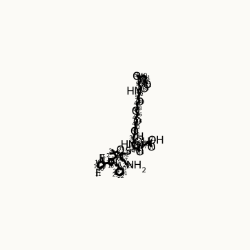 CC(C)(C)[C@H](c1cc(-c2cc(F)ccc2F)cn1Cc1ccccc1)N(CCCN)C(=O)CSC[C@H](NC(O)CCOCCOCCOCCOCCNC(=O)CN1C(=O)C=CC1=O)C(=O)NCCC(=O)O